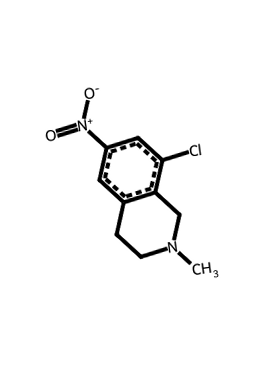 CN1CCc2cc([N+](=O)[O-])cc(Cl)c2C1